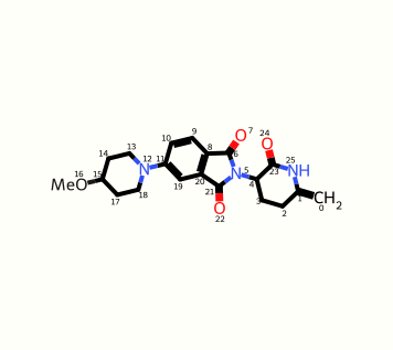 C=C1CCC(N2C(=O)c3ccc(N4CCC(OC)CC4)cc3C2=O)C(=O)N1